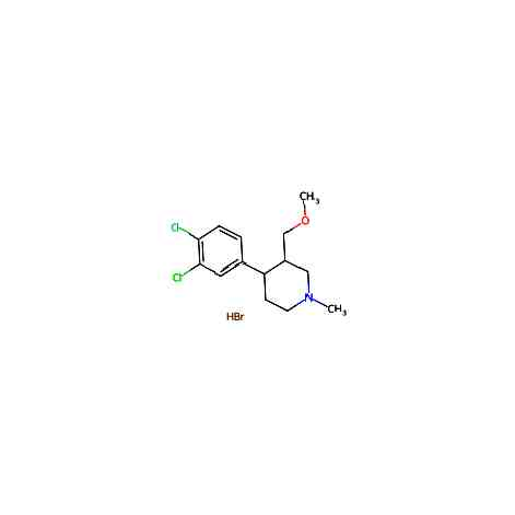 Br.COCC1CN(C)CCC1c1ccc(Cl)c(Cl)c1